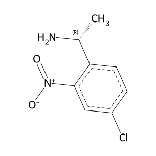 C[C@@H](N)c1ccc(Cl)cc1[N+](=O)[O-]